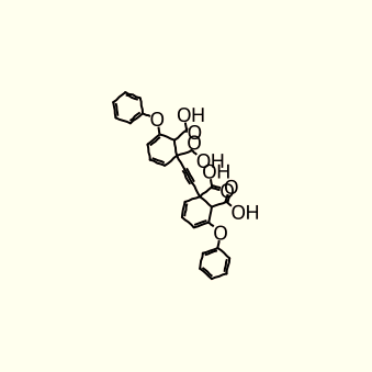 O=C(O)C1C(Oc2ccccc2)=CC=CC1(C#CC1(C(=O)O)C=CC=C(Oc2ccccc2)C1C(=O)O)C(=O)O